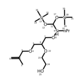 C=C(C)COCC(CO[SiH](CCC)C(O[Si](C)(C)C)O[Si](C)(C)C)OCCO